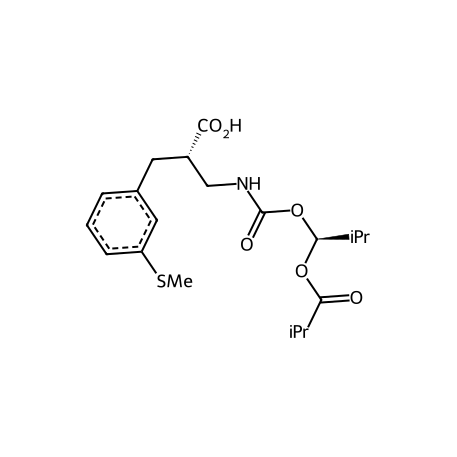 CSc1cccc(C[C@@H](CNC(=O)O[C@H](OC(=O)C(C)C)C(C)C)C(=O)O)c1